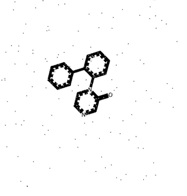 O=c1cnccn1-c1ccccc1-c1ccccc1